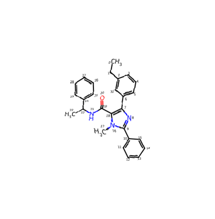 CCc1cccc(-c2nc(-c3ccccc3)n(C)c2C(=O)NC(C)c2ccccc2)c1